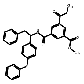 COC(=O)c1cc(C(=O)NC(Cc2ccccc2)c2ccc(Oc3ccccc3)cc2)cc(C(=O)OC)c1